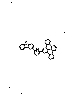 c1cc(-c2ccc3sc4ccccc4c3c2)nc(-c2cc3c4ccccc4c4cccc5c6ccccc6c(c2)c3c45)c1